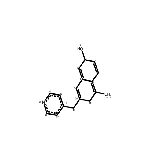 CC1=C2C=CC(O)C=C2C=C(Cc2ccncc2)C1